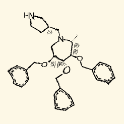 C[C@@H]1[C@@H](OCc2ccccc2)[C@H](OCc2ccccc2)[C@@H](OCc2ccccc2)CN1C[C@H]1CCNC1